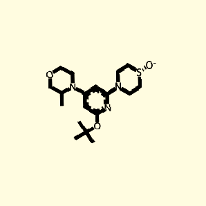 CC1COCCN1c1cc(OC(C)(C)C)nc(N2CC[S+]([O-])CC2)c1